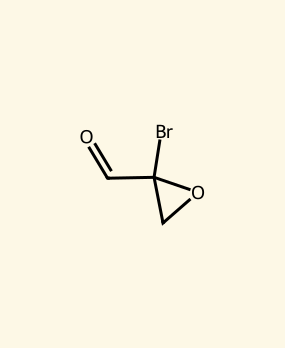 O=CC1(Br)CO1